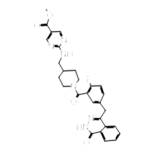 COC(=O)c1cnc(NCC2CCN(C(=O)c3cc(Cc4n[nH]c(=O)c5ccccc45)ccc3F)CC2)nc1